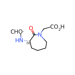 O=[C]N[C@H]1CCCCN(CC(=O)O)C1=O